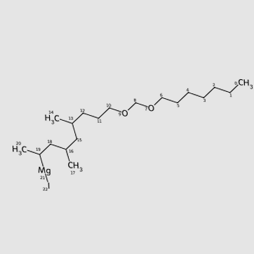 CCCCCCCOCOCCCC(C)CC(C)C[CH](C)[Mg][I]